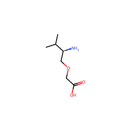 CC(C)[C@@H](N)COCC(=O)O